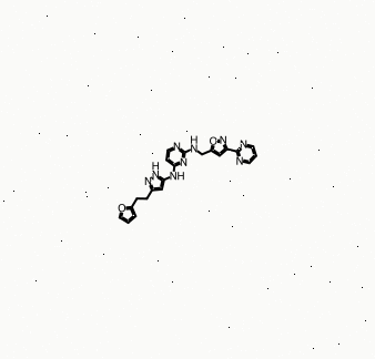 c1cnc(-c2cc(CNc3nccc(Nc4cc(CCc5ccco5)n[nH]4)n3)on2)nc1